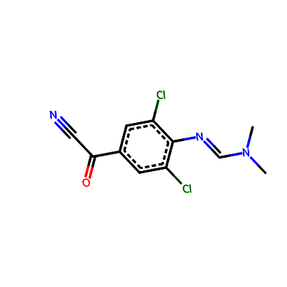 CN(C)C=Nc1c(Cl)cc(C(=O)C#N)cc1Cl